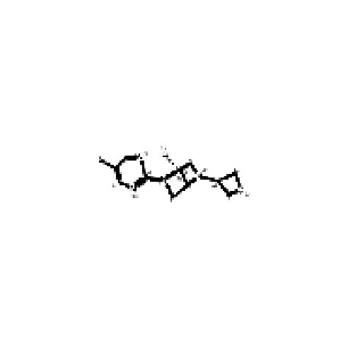 Cc1cnc(N2CC3[C@@H]2CN3C2COC2)nc1